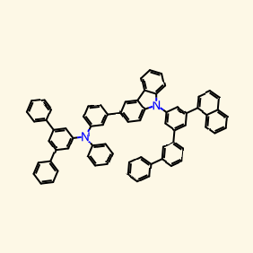 c1ccc(-c2cccc(-c3cc(-c4cccc5ccccc45)cc(-n4c5ccccc5c5cc(-c6cccc(N(c7ccccc7)c7cc(-c8ccccc8)cc(-c8ccccc8)c7)c6)ccc54)c3)c2)cc1